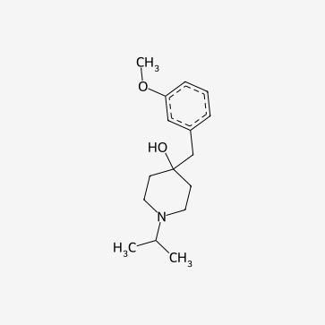 COc1cccc(CC2(O)CCN(C(C)C)CC2)c1